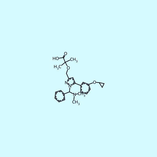 CN(C)C(c1ccccc1)n1nc(COC(C)(C)C(=O)O)cc1-c1cccc(OC2CC2)c1